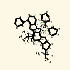 CCCC1=Cc2c(-c3ccccc3)cccc2[CH]1[Zr]([Cl])([Cl])([c]1cc(C(C)(C)C)cc2c1Cc1ccc(C(C)(C)C)cc1-2)[SiH](c1ccccc1)c1ccccc1